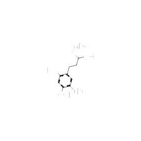 CCCCCCCCCCSC(C)CCc1cc(C(C)(C)C)c(O)cc1C